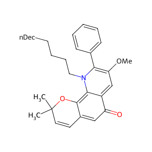 CCCCCCCCCCCCCCn1c(-c2ccccc2)c(OC)cc2c(=O)cc3c(c1-2)OC(C)(C)C=C3